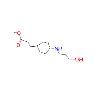 COC(=O)CC[C@H]1CC[C@H](NCCCO)CC1